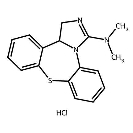 CN(C)C1=NCC2c3ccccc3Sc3ccccc3N12.Cl